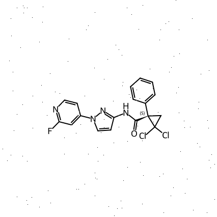 O=C(Nc1ccn(-c2ccnc(F)c2)n1)[C@@]1(c2ccccc2)CC1(Cl)Cl